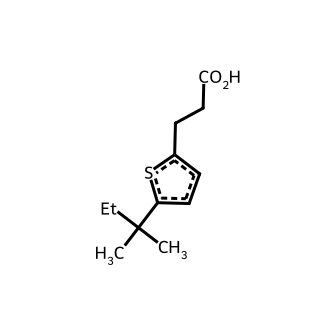 CCC(C)(C)c1ccc(CCC(=O)O)s1